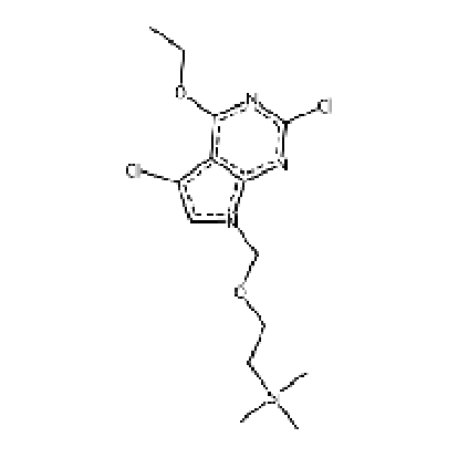 CCOc1nc(Cl)nc2c1c(Cl)cn2COCC[Si](C)(C)C